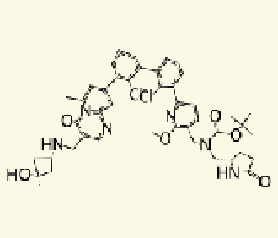 COc1nc(-c2cccc(-c3cccc(-c4cc(C)n5c(=O)c(CN[C@H]6C[C@](C)(O)C6)cnc5c4)c3Cl)c2Cl)ccc1CN(C[C@@H]1CCC(=O)N1)C(=O)OC(C)(C)C